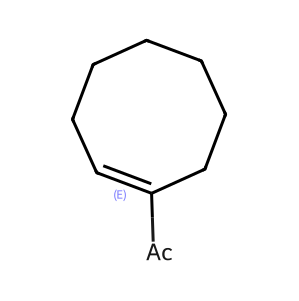 CC(=O)/C1=C/CCCCCC1